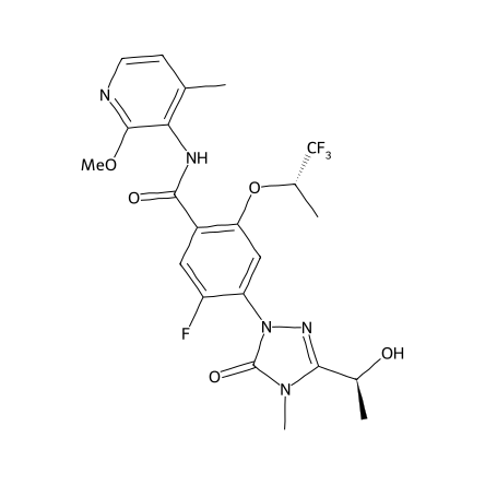 COc1nccc(C)c1NC(=O)c1cc(F)c(-n2nc([C@H](C)O)n(C)c2=O)cc1O[C@@H](C)C(F)(F)F